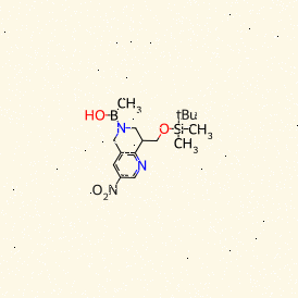 CB(O)N1Cc2cc([N+](=O)[O-])cnc2C(CO[Si](C)(C)C(C)(C)C)C1